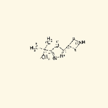 CC(C)(C)c1nnc(C2CNC2)o1